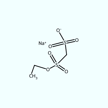 CCOS(=O)(=O)CS(=O)(=O)[O-].[Na+]